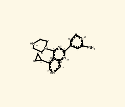 Nc1cc(-c2nc(N3CCNCC3)c3c(C4CC4)cncc3n2)ccn1